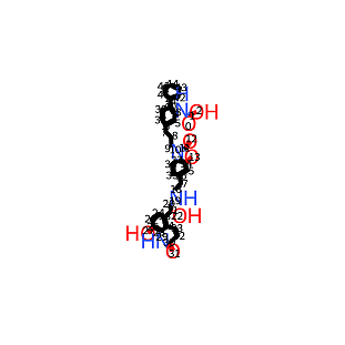 O=C(O)Nc1cc(CCCn2c(=O)oc3cc(CCNCC(O)c4ccc(O)c5[nH]c(=O)ccc45)ccc32)ccc1-c1ccccc1